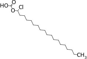 CCCCCCCCCCCCCCCCCCC(Cl)OC(=O)O